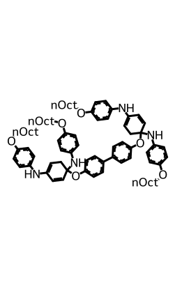 CCCCCCCCOc1ccc(NC2=CCC(Nc3ccc(OCCCCCCCC)cc3)(Oc3ccc(-c4ccc(OC5(Nc6ccc(OCCCCCCCC)cc6)C=CC(Nc6ccc(OCCCCCCCC)cc6)=CC5)cc4)cc3)C=C2)cc1